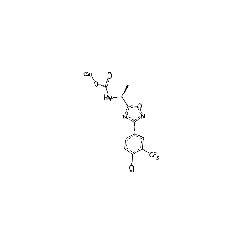 C[C@H](NC(=O)OC(C)(C)C)c1nc(-c2ccc(Cl)c(C(F)(F)F)c2)no1